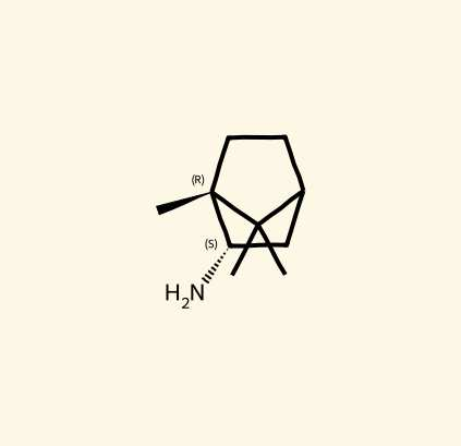 CC1(C)C2CC[C@@]1(C)[C@@H](N)C2